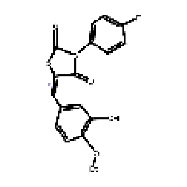 CCOc1ccc(/C=C2/SC(=O)N(c3ccc(F)cc3)C2=O)cc1O